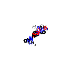 CC(C)C(NC=O)C(=O)N1C(c2nc(-c3cc4ccc3CCc3ccc(c(-c5ccc(-c6c[nH]c(C7CC8CCCCC8N7C)n6)cc5)c3)CC4)c[nH]2)CC2CCCCC21